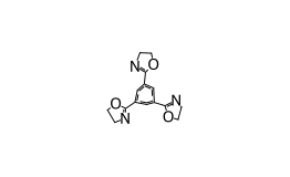 c1c(C2=NCCO2)cc(C2=NCCO2)cc1C1=NCCO1